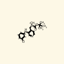 CN(Cc1ccncc1Nc1cccc(Cl)c1)C(=O)OC(C)(C)C